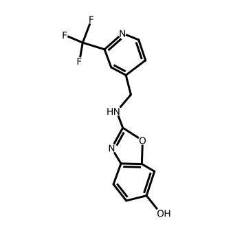 Oc1ccc2nc(NCc3ccnc(C(F)(F)F)c3)oc2c1